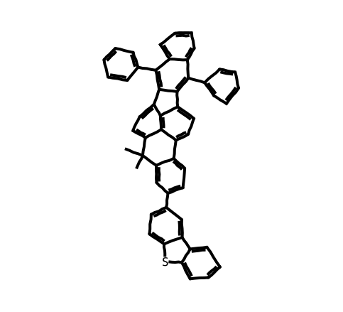 CC1(C)c2cc(-c3ccc4sc5ccccc5c4c3)ccc2-c2ccc3c4c(ccc1c24)-c1c-3c(-c2ccccc2)c2ccccc2c1-c1ccccc1